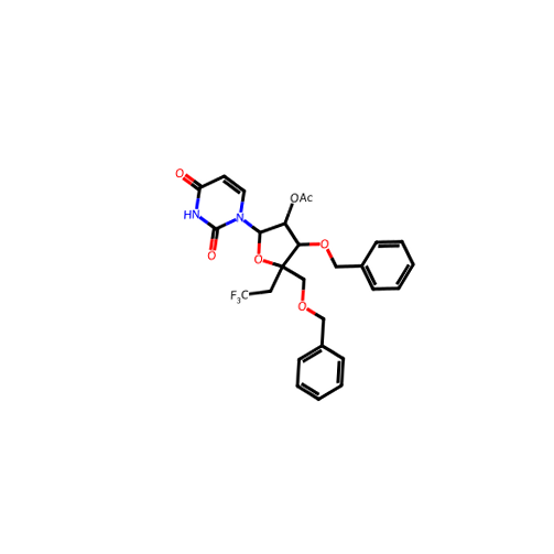 CC(=O)OC1C(n2ccc(=O)[nH]c2=O)OC(COCc2ccccc2)(CC(F)(F)F)C1OCc1ccccc1